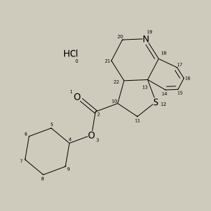 Cl.O=C(OC1CCCCC1)C1CSC23C=CC=CC2=NCCC13